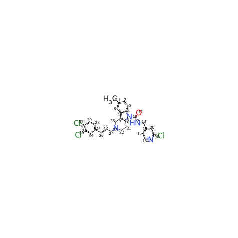 Cc1ccc2c(c1)c1c(n2C(=O)NCc2ccnc(Cl)c2)CCN(CC=Cc2ccc(Cl)c(Cl)c2)C1